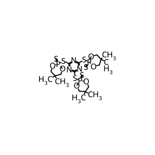 CC1(C)COP(=S)(Sc2nc(SP3(=S)OCC(C)(C)CO3)nc(SP3(=S)OCC(C)(C)CO3)n2)OC1